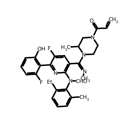 C=CC(=O)N1CCN(/C(=N/C)c2cc(F)c(-c3c(O)cccc3F)nc2N(C=O)c2c(C)cccc2CC)C(C)C1